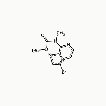 CN(C(=O)OC(C)(C)C)c1nccn2c(Br)cnc12